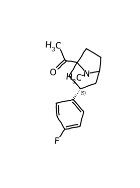 CC(=O)C12CCC(C[C@H](c3ccc(F)cc3)C1)N2C